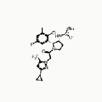 Cc1cc(F)cc([C@@H]2[C@H](N[S@+]([O-])C(C)(C)C)CCN2C(=O)Cn2nc(C3CC3)cc2C(F)(F)F)c1Cl